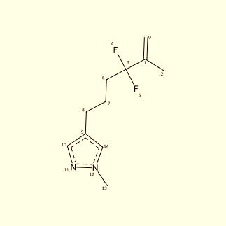 C=C(C)C(F)(F)CCCc1cnn(C)c1